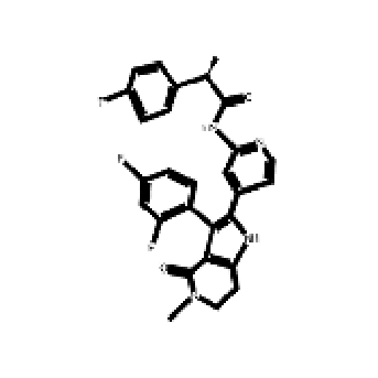 C[C@@H](C(=O)Nc1cc(-c2[nH]c3c(c2-c2ccc(F)cc2F)C(=O)N(C)CC3)ccn1)c1ccc(F)cc1